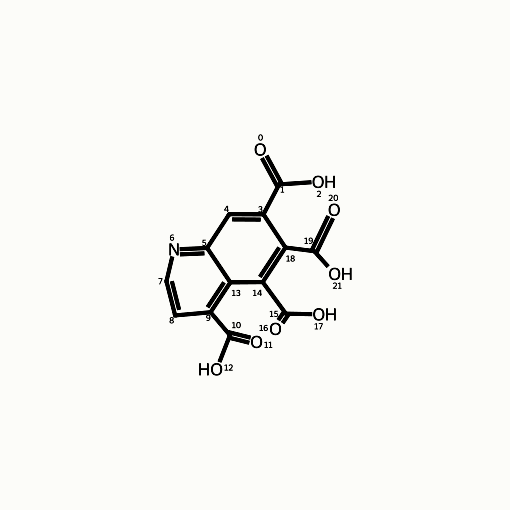 O=C(O)c1cc2nccc(C(=O)O)c2c(C(=O)O)c1C(=O)O